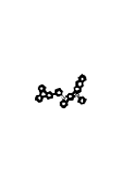 c1ccc(-n2c3cc4cc5ccccc5cc4cc3c3cc4c(cc32)c2ccccc2n4-c2cccc(-c3ccc4c5ccccc5c5ccccc5c4c3)c2)cc1